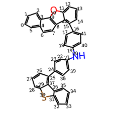 c1ccc2c(c1)ccc1c2oc2cccc(-c3ccc(Nc4ccc(-c5cccc6sc7ccccc7c56)cc4)cc3)c21